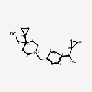 CC(=O)C(c1ccc(CN2CCC(CC#N)(C3CC3)CC2)cc1)C1CC1